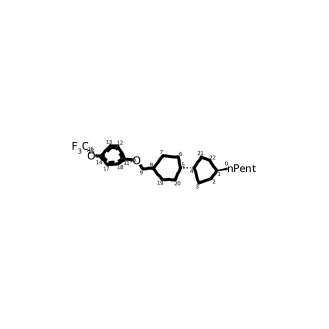 CCCCC[C@H]1CC[C@H](C2CCC(COc3ccc(OC(F)(F)F)cc3)CC2)CC1